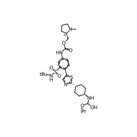 CC(C)OC(O)N[C@H]1CC[C@H](c2ncc(-c3ccc(NC(=O)OC[C@H]4CCCN4C)cc3S(=O)(=O)NC(C)(C)C)s2)CC1